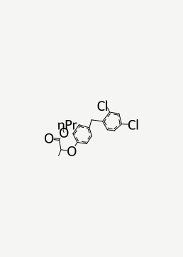 CCCOC(=O)C(C)Oc1ccc(Cc2ccc(Cl)cc2Cl)cc1